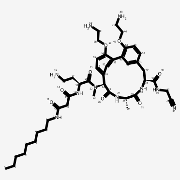 CCCCCCCCCNC(=O)CC(=O)N[C@@H](CCN)C(=O)N(C)[C@@H]1C(=O)N[C@@H](C)C(=O)N[C@H](C(=O)NCC#N)Cc2ccc(OCCN)c(c2)-c2cc1ccc2OCCN